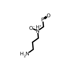 NCCC[NH+]([O-])CP=O